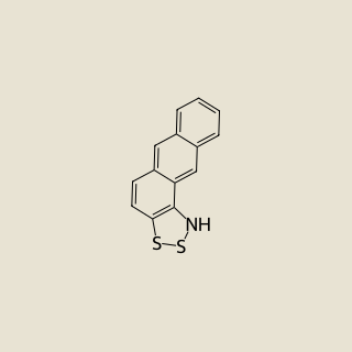 c1ccc2cc3c4c(ccc3cc2c1)SSN4